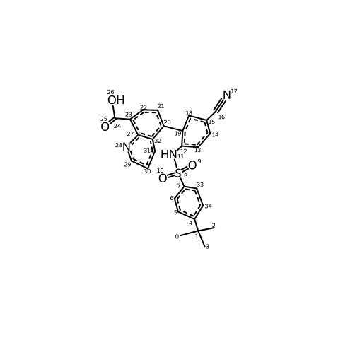 CC(C)(C)c1ccc(S(=O)(=O)Nc2ccc(C#N)cc2-c2ccc(C(=O)O)c3ncccc23)cc1